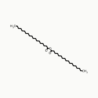 CCCCCCCCCCCCCCCCCCC(=O)OC(=O)CCCCCCCCCCCCCCCCC